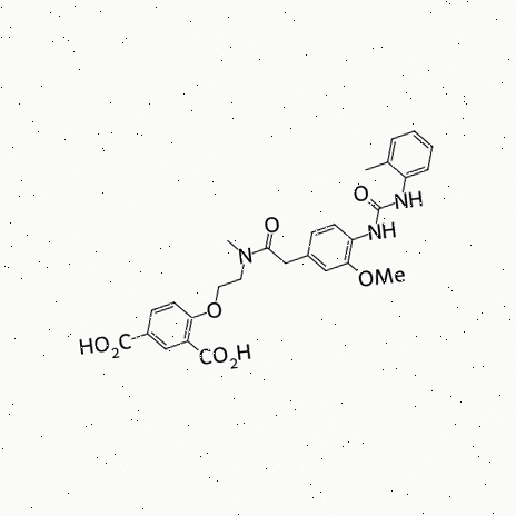 COc1cc(CC(=O)N(C)CCOc2ccc(C(=O)O)cc2C(=O)O)ccc1NC(=O)Nc1ccccc1C